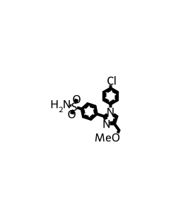 COCc1cn(-c2ccc(Cl)cc2)c(-c2ccc(S(N)(=O)=O)cc2)n1